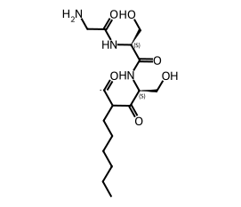 CCCCCCC([C]=O)C(=O)[C@H](CO)NC(=O)[C@H](CO)NC(=O)CN